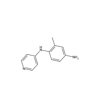 Cc1cc(N)ccc1Nc1ccncc1